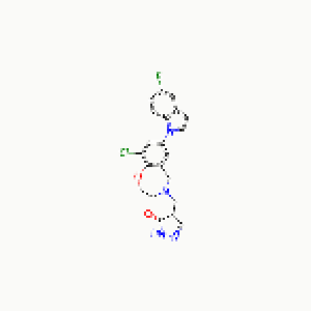 O=C1NN=CC1CN1CCOc2c(Cl)cc(-n3ccc4cc(F)ccc43)cc2C1